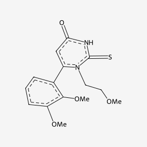 COCCn1c(-c2cccc(OC)c2OC)cc(=O)[nH]c1=S